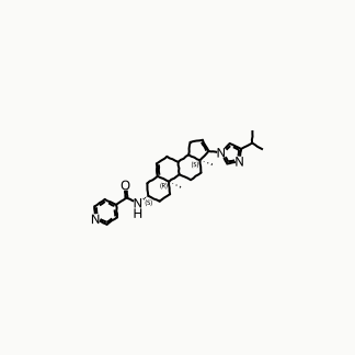 CC(C)c1cn(C2=CCC3C4CC=C5C[C@@H](NC(=O)c6ccncc6)CC[C@]5(C)C4CC[C@]23C)cn1